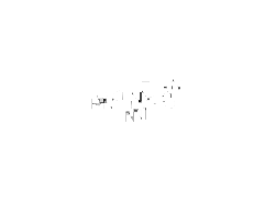 C=CC(=O)Nc1cccc(-c2nc(Nc3ccc(OC)c(N4CCN(C)CC4)c3)nc3[nH]ncc23)c1